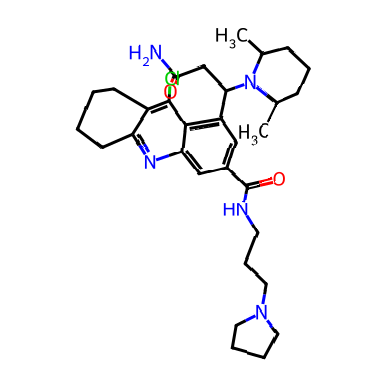 CC1CCCC(C)N1C(CC(N)=O)c1cc(C(=O)NCCCN2CCCC2)cc2nc3c(c(Cl)c12)CCCC3